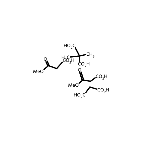 CC(C)(C(=O)O)C(=O)O.COC(=O)CC(=O)O.COC(=O)CC(=O)O.O=C(O)CC(=O)O